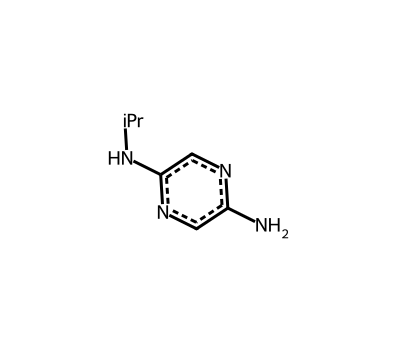 CC(C)Nc1cnc(N)cn1